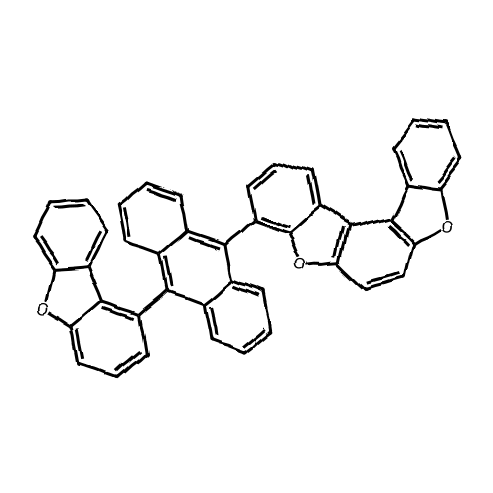 c1ccc2c(c1)oc1cccc(-c3c4ccccc4c(-c4cccc5c4oc4ccc6oc7ccccc7c6c45)c4ccccc34)c12